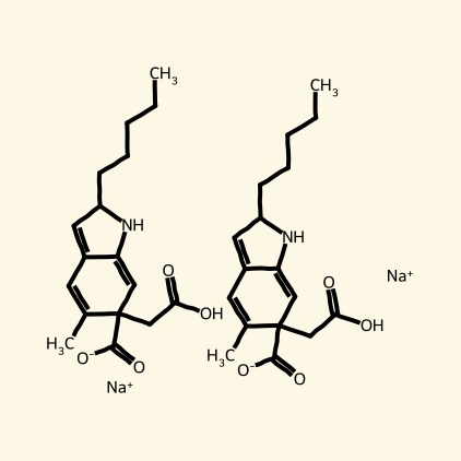 CCCCCC1C=C2C=C(C)C(CC(=O)O)(C(=O)[O-])C=C2N1.CCCCCC1C=C2C=C(C)C(CC(=O)O)(C(=O)[O-])C=C2N1.[Na+].[Na+]